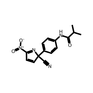 CC(C)C(=O)Nc1ccc(C2(C#N)C=CC([N+](=O)[O-])=N2)cc1